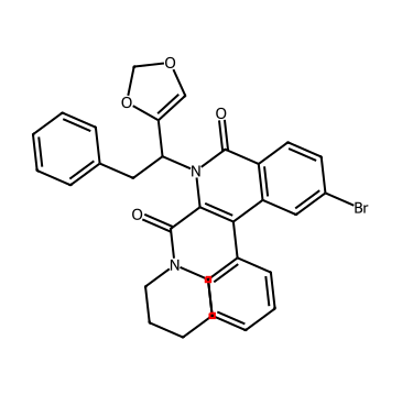 O=C(c1c(-c2ccccc2)c2cc(Br)ccc2c(=O)n1C(Cc1ccccc1)C1=COCO1)N1CCCCC1